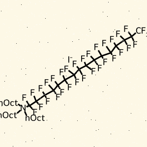 CCCCCCCC[N+](CCCCCCCC)(CCCCCCCC)C(F)(F)C(F)(F)C(F)(F)C(F)(F)C(F)(F)C(F)(F)C(F)(F)C(F)(F)C(F)(F)C(F)(F)C(F)(F)C(F)(F)C(F)(F)C(F)(F)C(F)(F)C(F)(F)F.[I-]